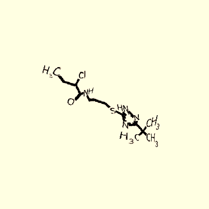 CCC(Cl)C(=O)NCCSc1nc(C(C)(C)C)n[nH]1